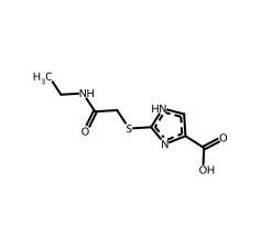 CCNC(=O)CSc1nc(C(=O)O)c[nH]1